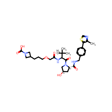 Cc1ncsc1-c1ccc(CNC(=O)[C@@H]2C[C@@H](O)CN2C(=O)C(NC(=O)COCCCC2CN(C(=O)O)C2)C(C)(C)C)cc1